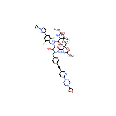 COC(=O)NC(C(=O)NC(Cc1ccc(C#Cc2ccc(N3CCN(C4COC4)CC3)nc2)cc1)C(O)CN(Cc1c(F)cc(-c2ccn(C3CC3)n2)cc1F)NC(=O)C(NC(=O)OC)C(C)(C)C(F)(F)F)C(C)(C)C(F)(F)F